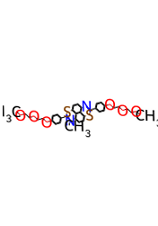 COCCOCCOc1ccc(C2=Nc3ccc4c5c(ccc(c35)S2)N(C)C(c2ccc(OCCOCCOC)cc2)S4)cc1